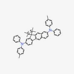 Cc1ccc(N(c2ccccc2)c2ccc3c(c2)C([Si](C)(C)C)([Si](C)(C)C)c2cc4cc(N(c5ccccc5)c5ccc(C)cc5)ccc4cc2-3)cc1